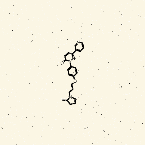 CC1CCCN1CCCOc1ccc(-n2nc(-c3cccnc3)ccc2=O)cc1